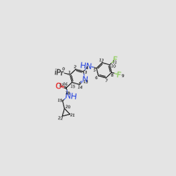 CC(C)c1cc(Nc2ccc(F)c(F)c2)ncc1C(=O)NCC1CC1